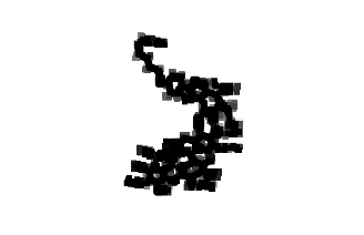 CCCCCC/C=C\CCCOc1ccc(C(=O)NC2[C@H](O[C@@H]3C(CO)O[C@@H](O[C@@H]4C(CO)O[C@@H](O[C@@H]5C(COS(=O)(=O)O)OC(O)C(NC(C)=O)C5O)C(NC(C)=O)[C@H]4O)C(NC(C)=O)C3O)OC(CO)[C@@H](O)[C@@H]2O)cc1